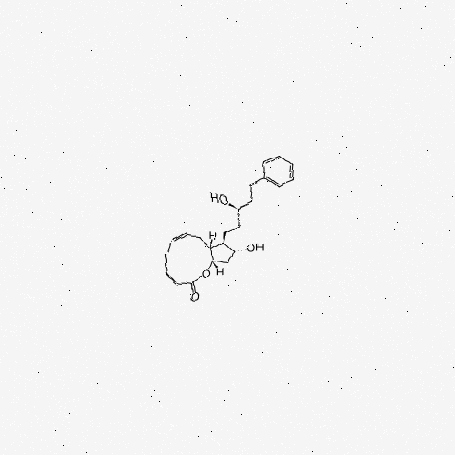 O=C1CCC/C=C\C[C@@H]2[C@@H](CC[C@@H](O)CCc3ccccc3)[C@H](O)C[C@@H]2O1